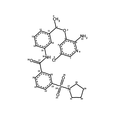 CC(Oc1cc(Cl)cnc1N)c1cccc(NC(=O)c2cccc(S(=O)(=O)N3CCCC3)c2)c1